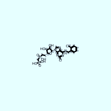 O=P(O)(O)CP(=O)(O)CC[C@H]1O[C@@H](n2cnc3c(NCc4ccccc4Cl)nc(Cl)nc32)C(O)[C@H]1O